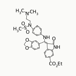 CCOC(=O)c1ccc2c(c1)NC(=O)/C2=C(\Nc1ccc(N(CCN(C)C)S(C)(=O)=O)cc1)c1ccc2c(c1)OCO2